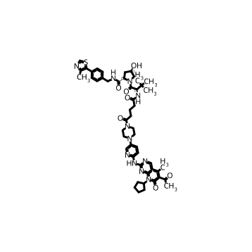 CC(=O)c1c(C)c2cnc(Nc3ccc(N4CCN(C(=O)CCCC(=O)N[C@H](C(=O)N5C[C@H](O)C[C@H]5C(=O)NCc5ccc(-c6scnc6C)cc5)C(C)(C)C)CC4)cn3)nc2n(C2CCCC2)c1=O